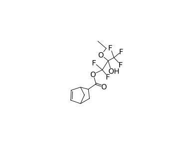 CCOC(O)(C(F)(F)F)C(F)(F)OC(=O)C1CC2C=CC1C2